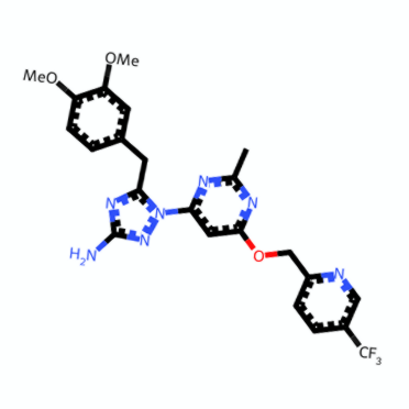 COc1ccc(Cc2nc(N)nn2-c2cc(OCc3ccc(C(F)(F)F)cn3)nc(C)n2)cc1OC